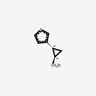 CCOC(=O)[C@@H]1C[C@H]1c1ccsc1